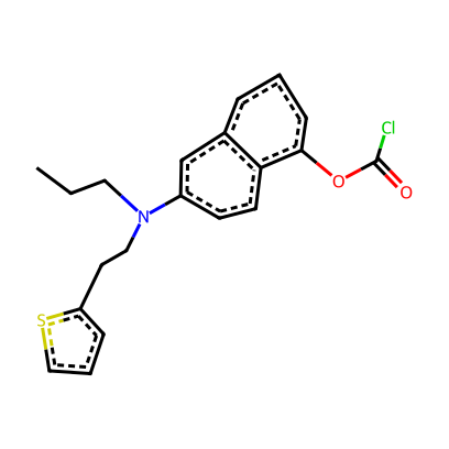 CCCN(CCc1cccs1)c1ccc2c(OC(=O)Cl)cccc2c1